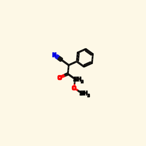 N#CC(C(=O)[SiH2]O[SiH3])c1ccccc1